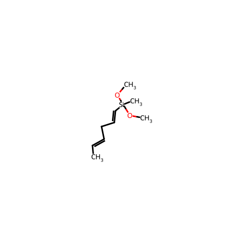 CC=CCC=C[Si](C)(OC)OC